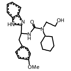 COc1ccc(CC(NC(=O)N(CCO)C2CCCCC2)c2nc3ccccc3[nH]2)cc1